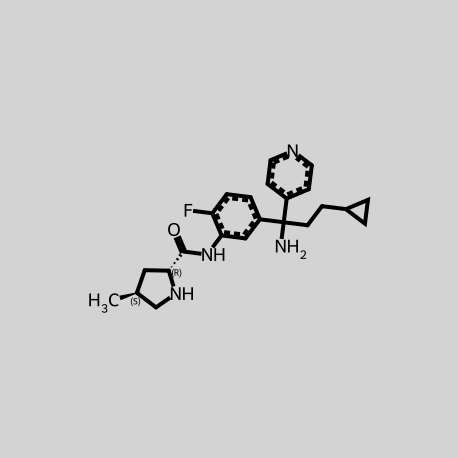 C[C@@H]1CN[C@@H](C(=O)Nc2cc(C(N)(CCC3CC3)c3ccncc3)ccc2F)C1